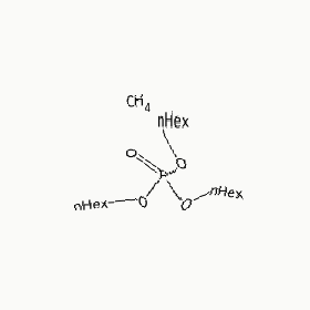 C.CCCCCCOP(=O)(OCCCCCC)OCCCCCC